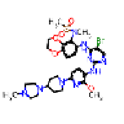 COc1nc(N2CCC(N3CCN(C)CC3)CC2)ccc1Nc1ncc(Br)c(Nc2ccc3c(c2N(C)S(C)(=O)=O)OCCO3)n1